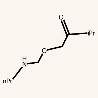 CCCNCOCC(=O)C(C)C